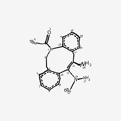 CC(C)(C)C(=O)N1Cc2ccccc2/C(N(N)C(C)(C)C)=C(/N)c2ccccc21